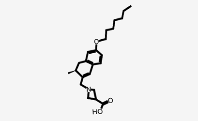 CCCCCCCOc1ccc2c(c1)C[C@H](C)C(CN1CC(C(=O)O)C1)=C2